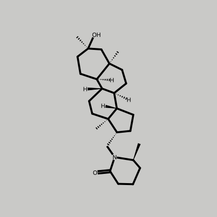 C[C@H]1CCCC(=O)N1C[C@H]1CC[C@H]2[C@@H]3CC[C@]4(C)C[C@](C)(O)CC[C@@H]4[C@H]3CC[C@]12C